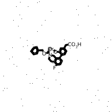 CC(C)Oc1cc(CC(=O)O)ccc1-c1ccc(F)c2c1CN(C(=O)OCc1ccccc1)CC2